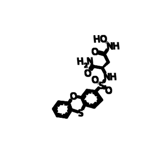 NC(=O)[C@@H](CC(=O)NO)NS(=O)(=O)c1ccc2c(c1)Oc1ccccc1S2